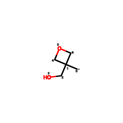 [CH2]C1(CO)COC1